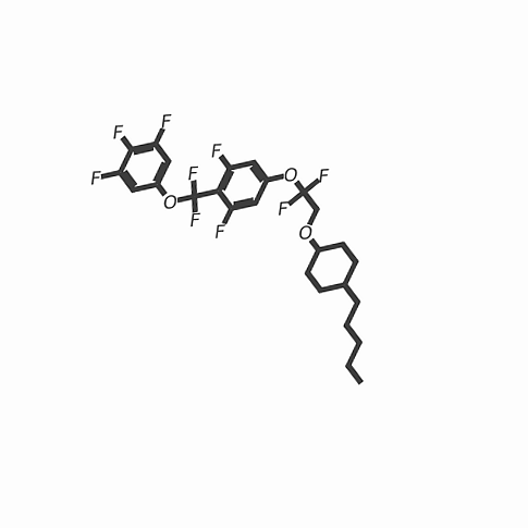 CCCCCC1CCC(OCC(F)(F)Oc2cc(F)c(C(F)(F)Oc3cc(F)c(F)c(F)c3)c(F)c2)CC1